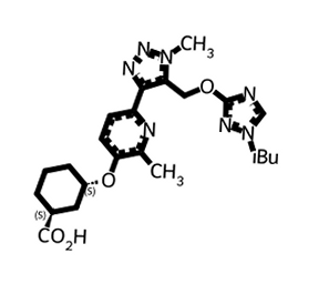 CCC(C)n1cnc(OCc2c(-c3ccc(O[C@H]4CCC[C@H](C(=O)O)C4)c(C)n3)nnn2C)n1